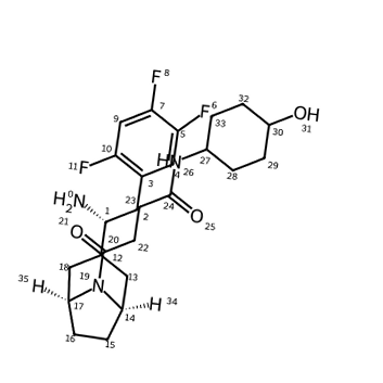 N[C@H](Cc1cc(F)c(F)cc1F)C1C[C@H]2CC[C@@H](C1)N2C(=O)CCC(=O)NC1CCC(O)CC1